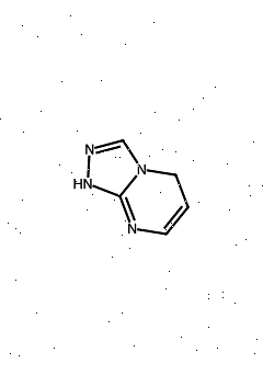 C1=CN=C2NN=CN2C1